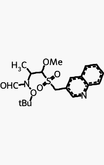 COC(C(C)N(C=O)OC(C)(C)C)S(=O)(=O)Cc1cnc2ccccc2c1